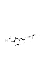 C/C=N/O/C(C)=C/c1ncnc(NC(C)C)c1C